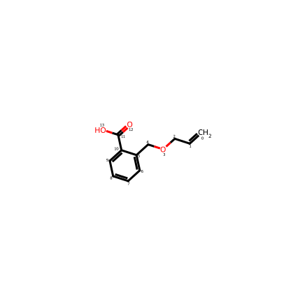 C=CCOCc1ccccc1C(=O)O